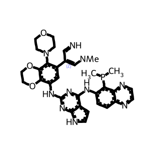 CN/C=C(\C=N)c1cc(Nc2nc(Nc3ccc4nccnc4c3P(C)C)c3cc[nH]c3n2)c2c(c1N1CCOCC1)OCCO2